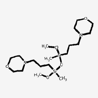 CO[Si](C)(CCCN1CCOCC1)O[Si](C)(CCCN1CCOCC1)OC